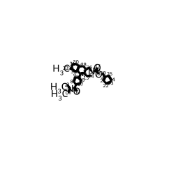 CCN(CC)C(=O)c1ccc(C2=C3CCN(C(=O)OCc4ccccc4)CC3Cc3ccc(C)cc32)cc1